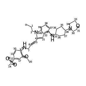 CCCn1c(C#CCNc2ccc(S(C)(=O)=O)cc2OC)cc2c(NC3CCC(N4CCOCC4)CC3)cccc21